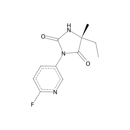 CC[C@@]1(C)NC(=O)N(c2ccc(F)nc2)C1=O